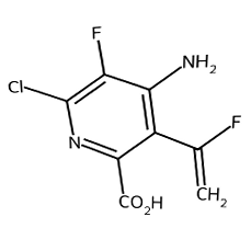 C=C(F)c1c(C(=O)O)nc(Cl)c(F)c1N